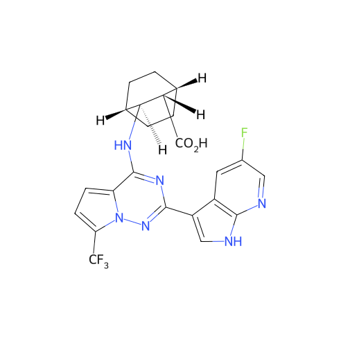 O=C(O)[C@H]1[C@H]2CC[C@H](CC2)[C@@H]1Nc1nc(-c2c[nH]c3ncc(F)cc23)nn2c(C(F)(F)F)ccc12